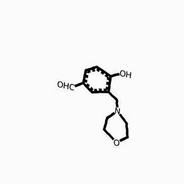 O=Cc1ccc(O)c(CN2CCOCC2)c1